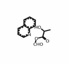 CC(O)C(=O)OC=O.c1ccc2ncccc2c1